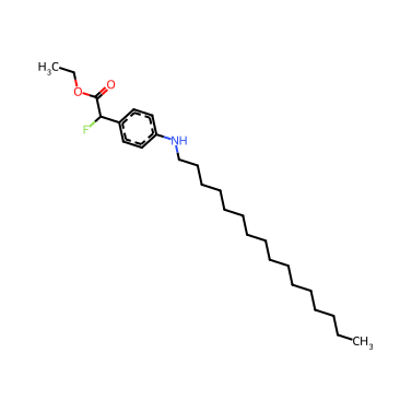 CCCCCCCCCCCCCCCCNc1ccc(C(F)C(=O)OCC)cc1